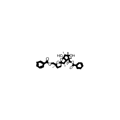 C[C@H]1[C@H]2[C@@](O)(O[C@]13CC[C@@](C)(COC(=O)c1ccccc1)O3)[C@H](C)[C@](C)(O)[C@]2(C)[C@@H](C)OC(=O)c1ccccc1